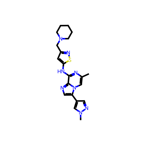 Cc1cn2c(-c3cnn(C)c3)cnc2c(Nc2cc(CN3CCCCC3)ns2)n1